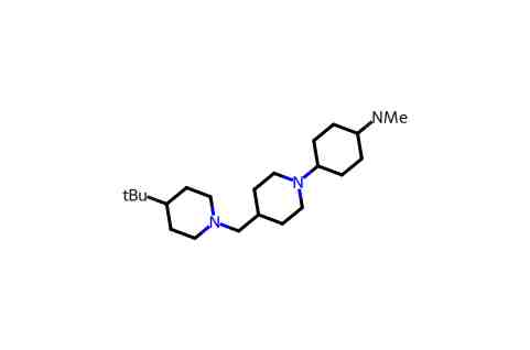 CNC1CCC(N2CCC(CN3CCC(C(C)(C)C)CC3)CC2)CC1